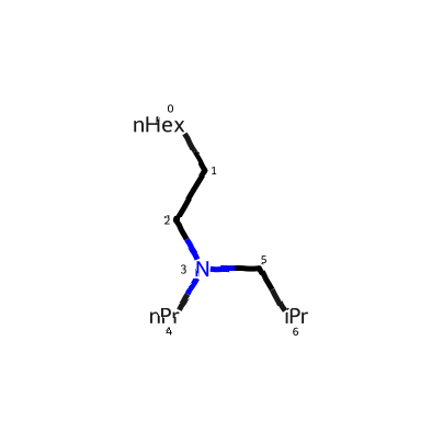 CCCCCCCCN(CCC)CC(C)C